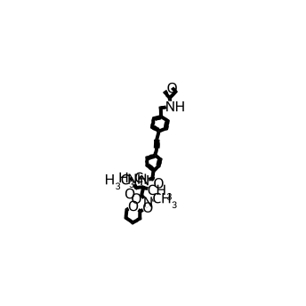 CNC(=O)C(C)(C(=O)N(C)OC1CCCCO1)N(C)C(=O)c1ccc(C#Cc2ccc(CNC3COC3)cc2)cc1